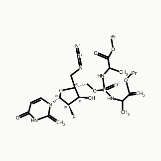 C=C(OC(C)C)C(C)NP(=O)(NC(C)C(=O)OC(C)C)OC[C@@]1(CN=[N+]=[N-])O[C@@H](N2C=CC(=O)NC2=C)[C@H](F)[C@@H]1O